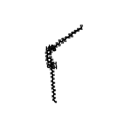 CCCCCCCCCCCCCCCCCCNC(=O)Nc1ccc(Cc2ccc(NC(=O)NCCCCCCCCCCCCCCCCCC)cc2)cc1